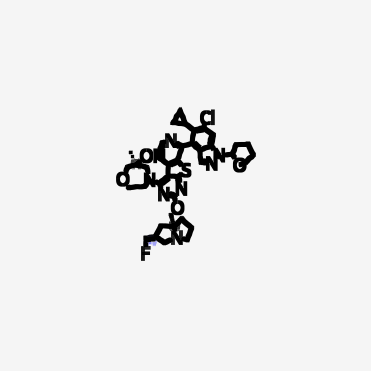 C[C@@]1(O)COCCN(c2nc(OC[C@@]34CCCN3C/C(=C\F)C4)nc3sc4c(-c5c(C6CC6)c(Cl)cc6c5cnn6C5CCCCO5)nccc4c23)C1